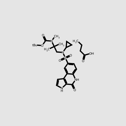 CCCC(=O)O.CN(C(=O)OC(C)(C)C)C(C)(C)CN(C1CC1)S(=O)(=O)c1ccc2[nH]c(=O)c3[nH]ccc3c2c1